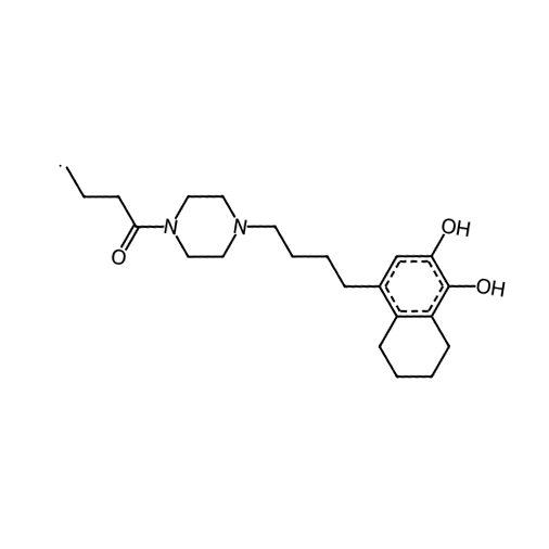 [CH2]CCC(=O)N1CCN(CCCCc2cc(O)c(O)c3c2CCCC3)CC1